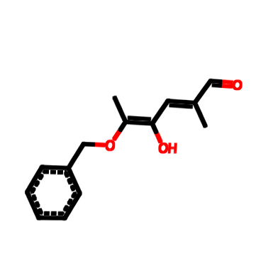 C/C(OCc1ccccc1)=C(O)\C=C(/C)C=O